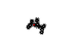 c1ccc2cc3c(cc2c1)c1ccccc1n3-c1cnc2c(c1)cc(-c1ccncc1)c1cc(-n3c4ccccc4c4cc5ccccc5cc43)ccc12